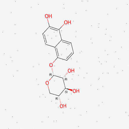 Oc1ccc2c(O[C@H]3OC[C@@H](O)[C@H](O)[C@H]3O)cccc2c1O